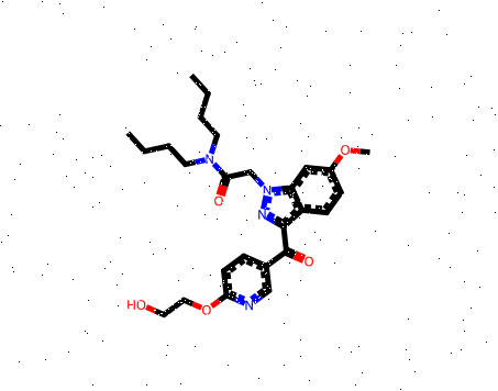 CCCCN(CCCC)C(=O)Cn1nc(C(=O)c2ccc(OCCO)nc2)c2ccc(OC)cc21